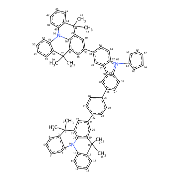 CC1(C)c2ccccc2N2c3ccccc3C(C)(C)c3cc(-c4ccc(-c5ccc6c(c5)c5cc(-c7cc8c9c(c7)C(C)(C)c7ccccc7N9c7ccccc7C8(C)C)ccc5n6-c5ccccc5)cc4)cc1c32